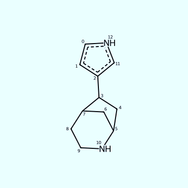 c1cc(C2CC3CC2CCN3)c[nH]1